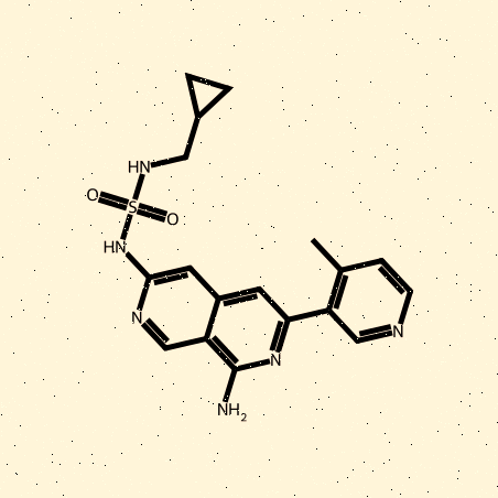 Cc1ccncc1-c1cc2cc(NS(=O)(=O)NCC3CC3)ncc2c(N)n1